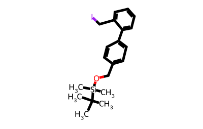 CC(C)(C)[Si](C)(C)OCc1ccc(-c2ccccc2CI)cc1